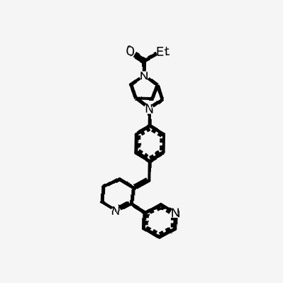 CCC(=O)N1CC2CC1CN2c1ccc(C=C2CCCN=C2c2cccnc2)cc1